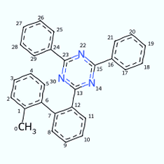 Cc1ccccc1-c1ccccc1-c1nc(-c2ccccc2)nc(-c2ccccc2)n1